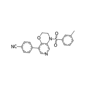 Cc1cccc(S(=O)(=O)N2CCOc3c(-c4ccc(C#N)cc4)cncc32)c1